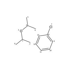 CC(C)OC(C)C.Clc1ccccc1